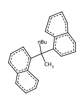 [CH2]CCCC(C)(c1cccc2ccccc12)c1cccc2ccccc12